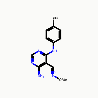 CCC(C)c1ccc(Nc2ncnc(N)c2/C=N/OC)cc1